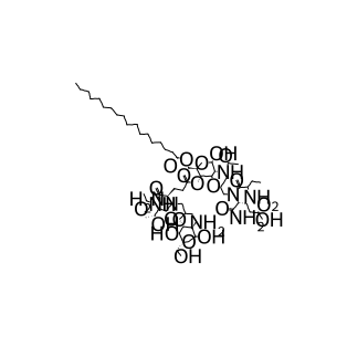 CCCCCCCCCCCCCCCCCC(=O)OC[C@H]1O[C@H](O)[C@H](NC(C)=O)[C@@H](OC(C)CN(C(=O)C(N)CC)[C@H](CCC(=O)O)C(N)=O)[C@@H]1OC(=O)CC[C@H](C(N)=O)N(CC(C)O[C@@H]1[C@@H](N)[C@@H](O)O[C@H](CO)[C@H]1O)C(=O)[C@@H](NC(C)=O)[C@@H](C)O